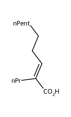 CCCCCCC/C=C(\CCC)C(=O)O